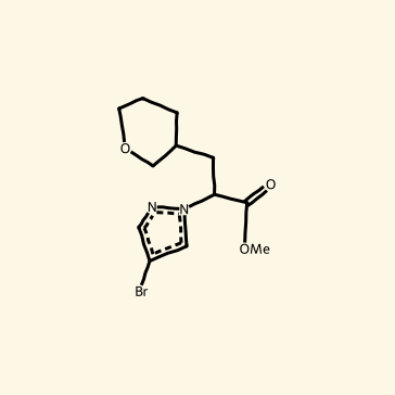 COC(=O)C(CC1CCCOC1)n1cc(Br)cn1